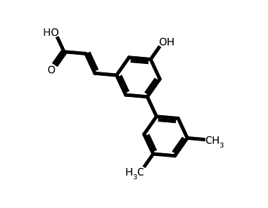 Cc1cc(C)cc(-c2cc(O)cc(C=CC(=O)O)c2)c1